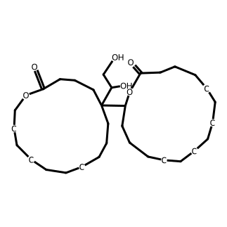 O=C1CCCC(C(O)CO)(C2CCCCCCCCCCCCCC(=O)O2)CCCCCCCCCCO1